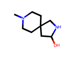 CN1CCC2(CC1)CNC(O)C2